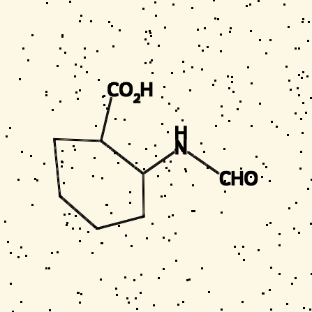 O=CNC1CCCCC1C(=O)O